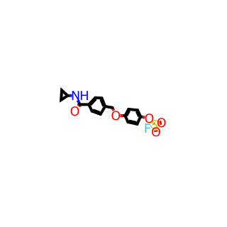 O=C(NC1CC1)c1ccc(COc2ccc(OS(=O)(=O)F)cc2)cc1